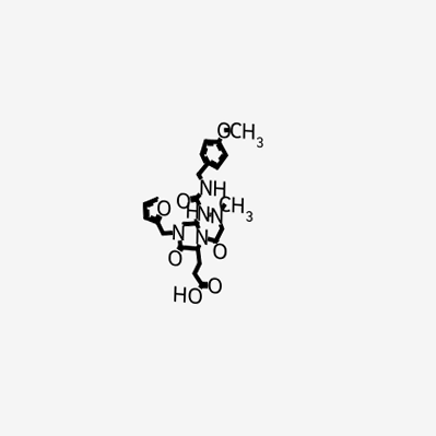 COc1ccc(CNC(=O)N2[C@H]3CN(Cc4ccco4)C(=O)C(CCC(=O)O)N3C(=O)CN2C)cc1